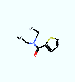 CCN(CC)C(=O)c1cccs1